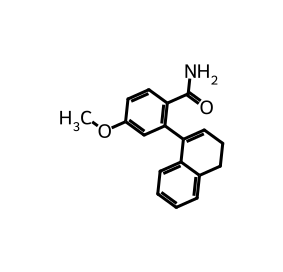 COc1ccc(C(N)=O)c(C2=CCCc3ccccc32)c1